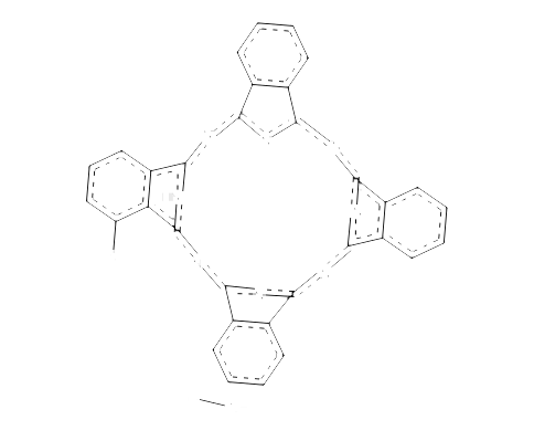 O=S(=O)(O)c1cccc2c3nc4nc(nc5[nH]c(nc6nc(nc([nH]3)c12)-c1ccccc1-6)c1ccccc51)-c1ccccc1-4.[AlH2][Cl]